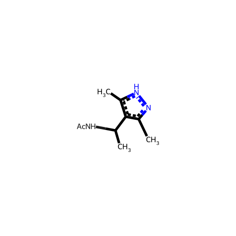 CC(=O)NC(C)c1c(C)n[nH]c1C